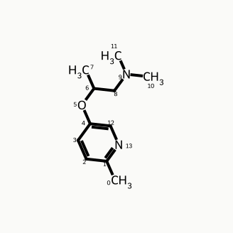 Cc1ccc(OC(C)CN(C)C)cn1